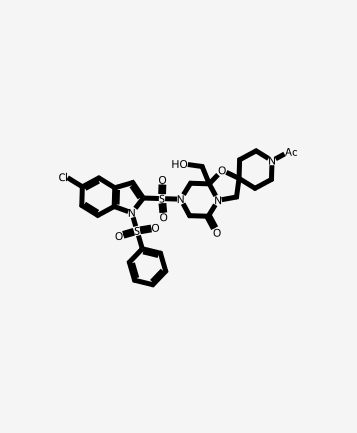 CC(=O)N1CCC2(CC1)CN1C(=O)CN(S(=O)(=O)c3cc4cc(Cl)ccc4n3S(=O)(=O)c3ccccc3)CC1(CO)O2